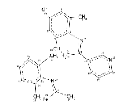 CC(=Nc1c(C)cccc1C)c1cccnc1.C[C]([Fe+])=Nc1c(C)cccc1C.[Cl-]